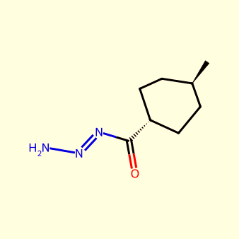 C[C@H]1CC[C@H](C(=O)N=NN)CC1